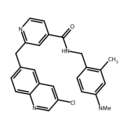 CNc1ccc(CNC(=O)c2ccnc(Cc3ccc4ncc(Cl)cc4c3)c2)c(C)c1